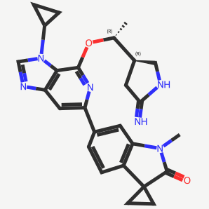 C[C@@H](Oc1nc(-c2ccc3c(c2)N(C)C(=O)C32CC2)cc2ncn(C3CC3)c12)[C@H]1CNC(=N)C1